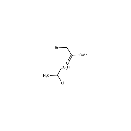 CC(Cl)C(=O)O.COC(=O)CBr